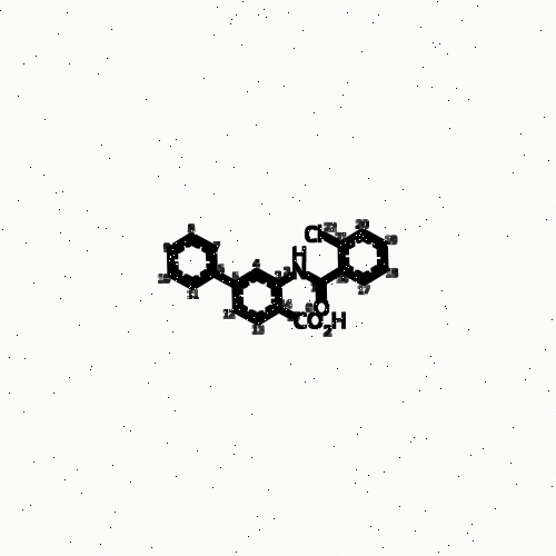 O=C(Nc1cc(-c2ccccc2)ccc1C(=O)O)c1ccccc1Cl